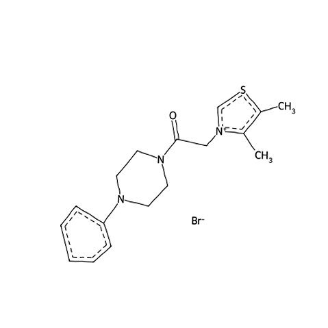 Cc1sc[n+](CC(=O)N2CCN(c3ccccc3)CC2)c1C.[Br-]